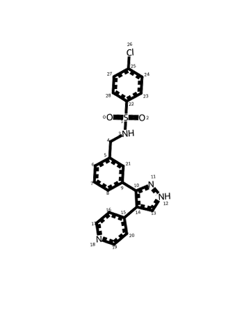 O=S(=O)(NCc1cccc(-c2n[nH]cc2-c2ccncc2)c1)c1ccc(Cl)cc1